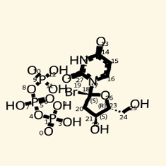 O=P(O)(O)OP(=O)(O)OP(=O)(O)O.O=c1ccn([C@@]2(Br)C[C@H](O)[C@@H](CO)O2)c(=O)[nH]1